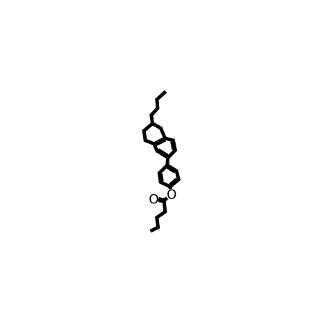 CCCCC(=O)Oc1ccc(-c2ccc3c(c2)CCC(CCCC)C3)cc1